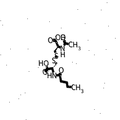 CCCCC(=O)N[C@@H](CSSC[C@H](NC(C)=O)C(=O)O)C(=O)O